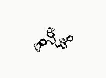 CCCCn1c(CN(CCc2ccc3c(c2)OCO3)Cc2ccc3c(c2)OCO3)cnc1-c1ccccc1